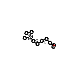 c1ccc(-c2nc(-c3ccc4c(c3)oc3c(-c5ccc6c(c5)oc5c(-c7ccc(C89CC%10CC(CC(C%10)C8)C9)cc7)cccc56)cccc34)nc(-c3ccccc3-c3ccccc3)n2)cc1